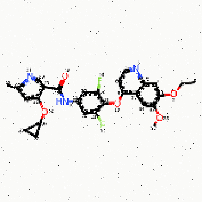 CCOc1cc2nccc(Oc3c(F)cc(NC(=O)c4cnc(C)cc4OC4CC4)cc3F)c2cc1OC